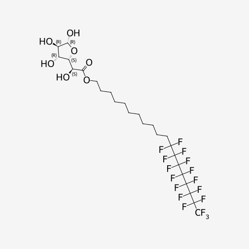 O=C(OCCCCCCCCCCCC(F)(F)C(F)(F)C(F)(F)C(F)(F)C(F)(F)C(F)(F)C(F)(F)C(F)(F)F)[C@@H](O)[C@H]1O[C@@H](O)[C@H](O)[C@H]1O